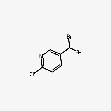 [2H]C(Br)c1ccc(Cl)nc1